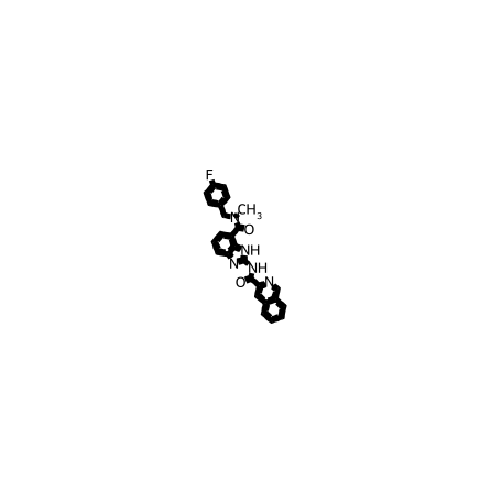 CN(Cc1ccc(F)cc1)C(=O)c1cccc2nc(NC(=O)c3cc4ccccc4cn3)[nH]c12